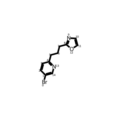 Brc1ccc(CCCc2ncco2)nc1